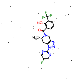 CC1Cc2c(nnn2-c2ncc(F)cn2)CN1C(=O)c1cccc(C(F)(F)F)c1O